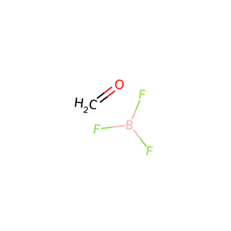 C=O.FB(F)F